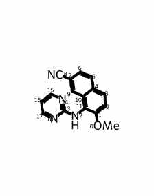 COc1ccc2ccc(C#N)cc2c1Nc1ncccn1